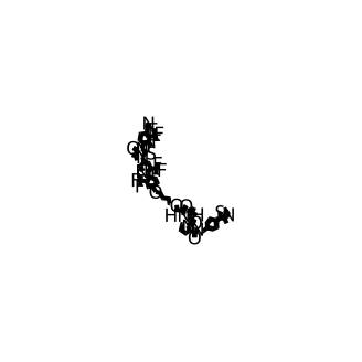 Cc1ncsc1-c1ccc(CNC(=O)[C@@H]2CCCN2C(=O)C(NC(=O)COCCCCOc2ccc(-c3ncc(N4C(=S)N(c5ccc(C#N)c(C(F)(F)F)c5F)C(=O)C4(C)C)cc3C(F)(F)F)c(C(F)(F)F)c2)C(C)(C)C)cc1